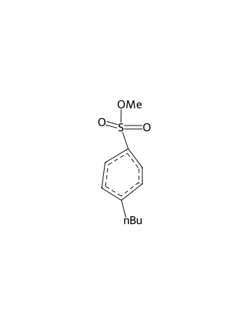 [CH2]OS(=O)(=O)c1ccc(CCCC)cc1